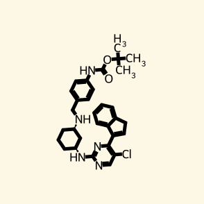 CC(C)(C)OC(=O)Nc1ccc(CN[C@H]2CCC[C@@H](Nc3ncc(Cl)c(C4=CCc5ccccc54)n3)C2)cc1